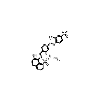 Cc1cc(S(=O)(=O)[O-])ccc1N=Nc1ccc(N=Nc2c(O)ccc3cccc(S(=O)(=O)[O-])c23)c(C)c1.[Na+].[Na+]